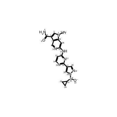 CC(C)n1cc(C(N)=O)c2cnc(Nc3ccnc(-c4cnn([S+]([O-])C5CC5)c4)n3)cc21